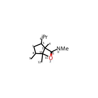 CNC(=O)C1(C)C(C(C)C)CC(C)C1(C)C